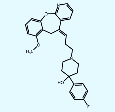 COc1cccc2c1CC(=CCCN1CCC(O)(c3ccc(F)cc3)CC1)c1cccnc1O2